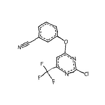 N#Cc1cccc(Oc2cc(C(F)(F)F)nc(Cl)n2)c1